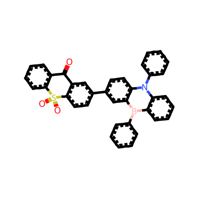 O=C1c2ccccc2S(=O)(=O)c2ccc(-c3ccc4c(c3)B(c3ccccc3)c3ccccc3N4c3ccccc3)cc21